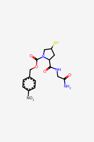 NC(=O)CNC(=O)C1CC(S)CN1C(=O)OCc1ccc([N+](=O)[O-])cc1